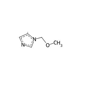 COCn1[c]cnc1